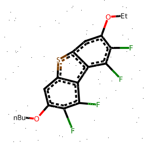 CCCCOc1cc2sc3cc(OCC)c(F)c(F)c3c2c(F)c1F